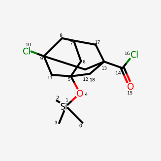 C[Si](C)(C)OC12CC3CC(Cl)(C1)CC(C(=O)Cl)(C3)C2